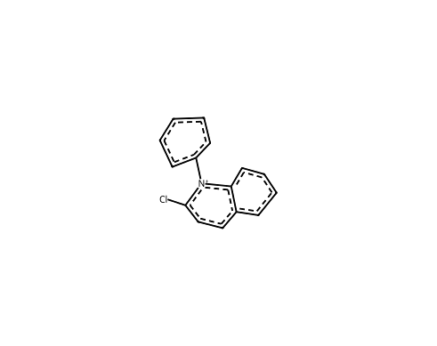 Clc1ccc2ccccc2[n+]1-c1ccccc1